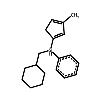 CC1=CCC([SiH](CC2CCCCC2)c2ccccc2)=C1